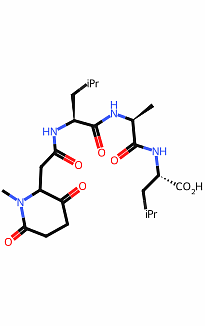 CC(C)C[C@H](NC(=O)[C@H](C)NC(=O)[C@H](CC(C)C)NC(=O)CC1C(=O)CCC(=O)N1C)C(=O)O